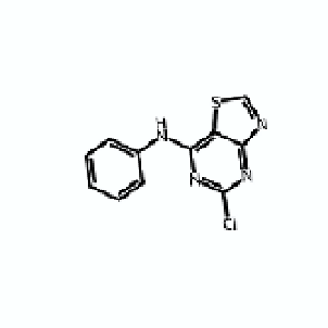 Clc1nc(Nc2ccccc2)c2scnc2n1